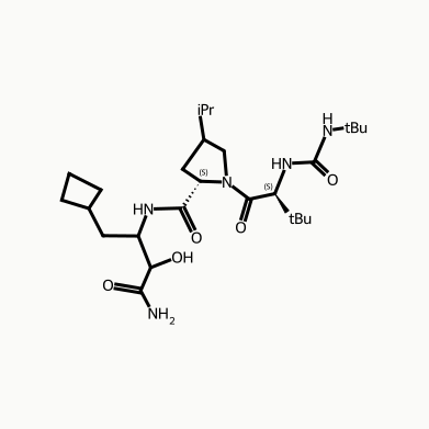 CC(C)C1C[C@@H](C(=O)NC(CC2CCC2)C(O)C(N)=O)N(C(=O)[C@@H](NC(=O)NC(C)(C)C)C(C)(C)C)C1